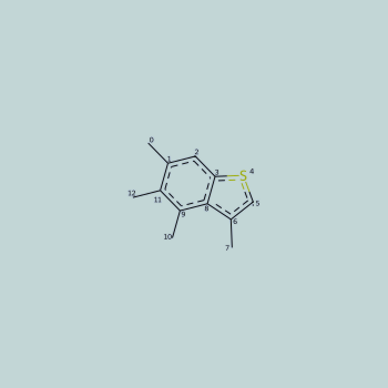 Cc1cc2s[c]c(C)c2c(C)c1C